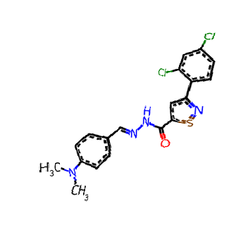 CN(C)c1ccc(/C=N/NC(=O)c2cc(-c3ccc(Cl)cc3Cl)ns2)cc1